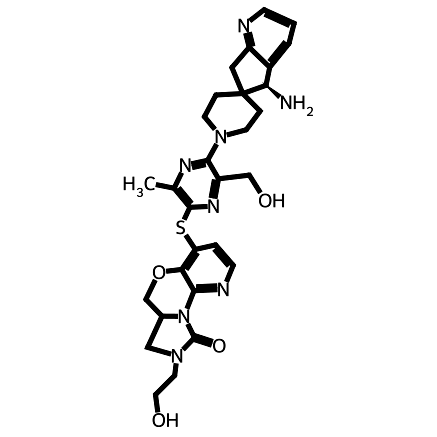 Cc1nc(N2CCC3(CC2)Cc2ncccc2[C@H]3N)c(CO)nc1Sc1ccnc2c1OCC1CN(CCO)C(=O)N21